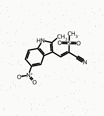 Cc1[nH]c2ccc([N+](=O)[O-])cc2c1C=C(C#N)S(C)(=O)=O